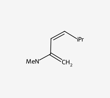 C=C(/C=C\C(C)C)NC